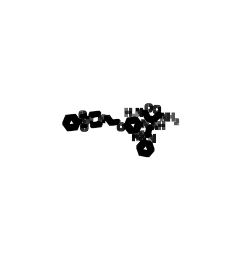 NC(=O)C1=C(C(N)=O)N(c2ccc(OCCCN3CCN(S(=O)(=O)c4ccccc4)CC3)cc2Cl)C(c2nc3ccccc3[nH]2)N1